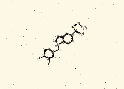 N=C(/N=N\N)c1ccc2c(ccn2Cc2ccc(F)c(F)c2)c1